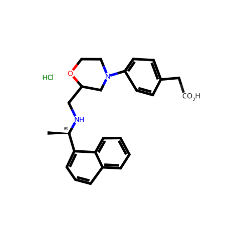 C[C@@H](NCC1CN(c2ccc(CC(=O)O)cc2)CCO1)c1cccc2ccccc12.Cl